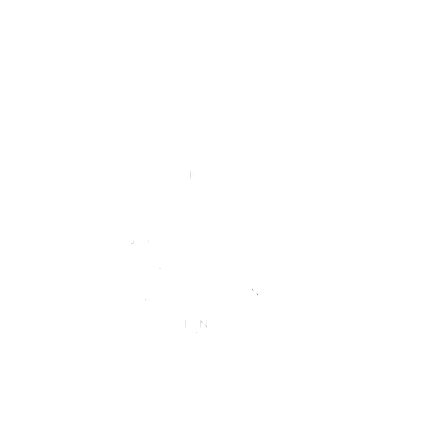 CC(C)COC(=O)c1cc(-c2ccc(C(F)(F)F)cc2C(F)(F)F)cnc1N